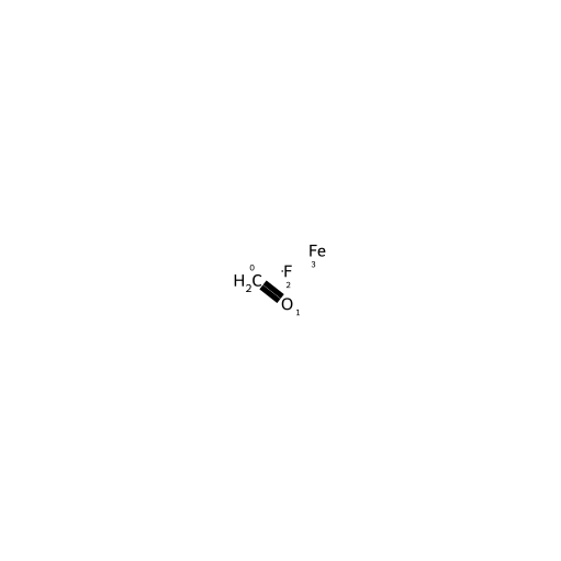 C=O.[F].[Fe]